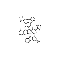 Cc1cccc(C)c1-c1cc2c3c(cc4c(-c5c(C)cccc5C)cc5c6c(cc1c3c46)B1c3ccccc3-c3cc(C(F)(F)F)cc-5c31)B1c3ccccc3-c3cc(C(F)(F)F)cc-2c31